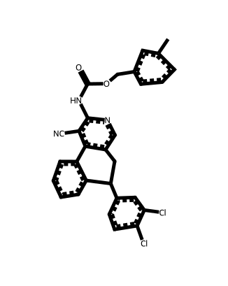 Cc1cccc(COC(=O)Nc2ncc3c(c2C#N)-c2ccccc2C(c2ccc(Cl)c(Cl)c2)C3)c1